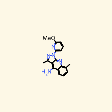 COc1cccc(-n2nc(C)c3c(N)c4cccc(C)c4nc32)n1